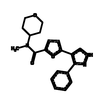 CN(C(=O)c1ccc(-c2c[nH]nc2-c2ccccc2)o1)C1CCOCC1